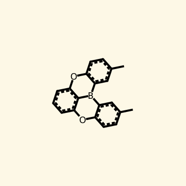 Cc1ccc2c(c1)B1c3cc(C)ccc3Oc3cccc(c31)O2